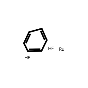 F.F.[Ru].c1ccccc1